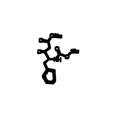 COC(=O)CC(=O)[C@H](Cc1ccccc1)NC(=O)OC(C)(C)C